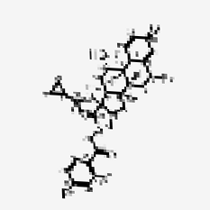 C[C@@H]1C[C@H]2[C@@H]3C[C@H](F)C4=CC(=O)C=C[C@]4(C)[C@@]3(F)[C@@H](O)C[C@]2(C)[C@@]1(OC(=O)C1CC1)C(=O)SCC(=O)c1ccc(F)cc1F